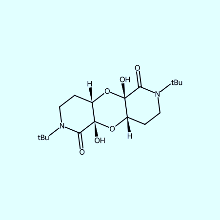 CC(C)(C)N1CC[C@@H]2O[C@]3(O)C(=O)N(C(C)(C)C)CC[C@@H]3O[C@]2(O)C1=O